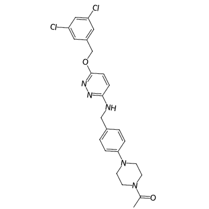 CC(=O)N1CCN(c2ccc(CNc3ccc(OCc4cc(Cl)cc(Cl)c4)nn3)cc2)CC1